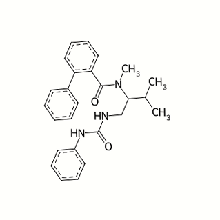 CC(C)C(CNC(=O)Nc1ccccc1)N(C)C(=O)c1ccccc1-c1ccccc1